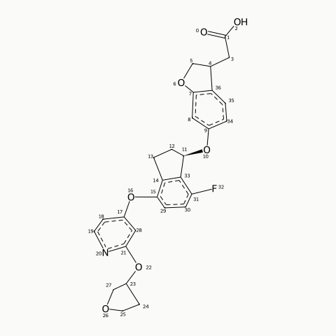 O=C(O)CC1COc2cc(O[C@@H]3CCc4c(Oc5ccnc(OC6CCOC6)c5)ccc(F)c43)ccc21